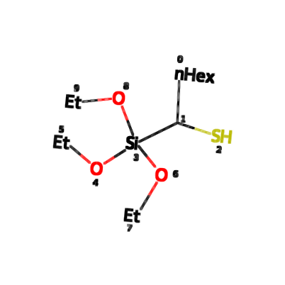 CCCCCCC(S)[Si](OCC)(OCC)OCC